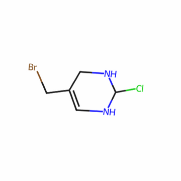 ClC1NC=C(CBr)CN1